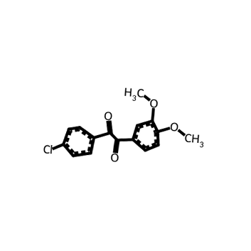 COc1ccc(C(=O)C(=O)c2ccc(Cl)cc2)cc1OC